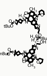 CCCCOC(=O)N1CC2(CC(n3nc(-c4ccc5nn(CCO)cc5c4)c(-c4c(Cl)c(C)cc5c4cnn5C4CCCCO4)c3C)C2)C1.Cc1cc2c(cnn2C2CCCCO2)c(-c2c(-c3ccc4nn(CCO[Si](C)(C)C(C)(C)C)cc4c3)nn(C3CC4(C3)CN(C(=O)OC(C)(C)C)C4)c2C)c1Cl